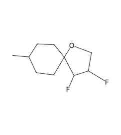 CC1CCC2(CC1)OCC(F)C2F